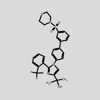 CC(C)(O)c1cn(-c2ccc(-c3cccc(S(=O)(=O)N4CCOCC4)c3)cc2)c(-c2ccccc2C(F)(F)F)n1